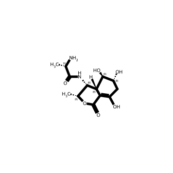 C[C@H](N)C(=O)N[C@@H]1[C@H]2C(=C(O)C[C@@H](O)[C@@H]2O)C(=O)O[C@@H]1C